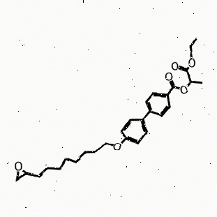 CCOC(=O)C(C)OC(=O)c1ccc(-c2ccc(OCCCCCCCCC3CO3)cc2)cc1